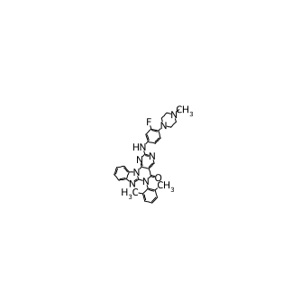 Cc1cccc(C)c1-n1c(=O)c2cnc(Nc3ccc(N4CCN(C)CC4)c(F)c3)nc2n2c3ccccc3nc12